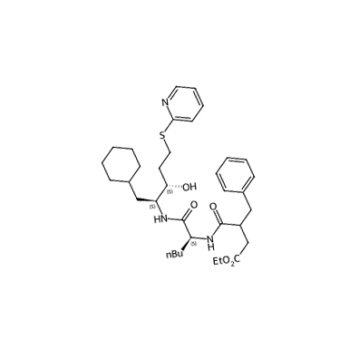 CCCC[C@H](NC(=O)C(CC(=O)OCC)Cc1ccccc1)C(=O)N[C@@H](CC1CCCCC1)[C@@H](O)CCSc1ccccn1